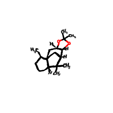 C[C@@H]1CC[C@H]2C(C)(C)[C@H]3C[C@@]12C[C@H]1OC(C)(C)O[C@H]13